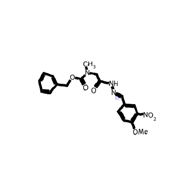 COc1ccc(/C=N/NC(=O)CN(C)C(=O)OCc2ccccc2)cc1[N+](=O)[O-]